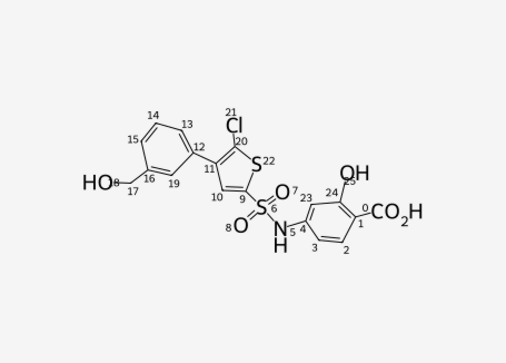 O=C(O)c1ccc(NS(=O)(=O)c2cc(-c3cccc(CO)c3)c(Cl)s2)cc1O